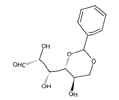 O=C[C@H](O)[C@@H](O)[C@@H]1OC(c2ccccc2)OC[C@H]1O